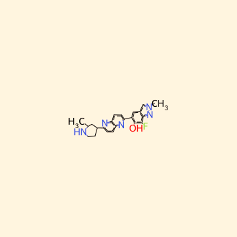 CC1CC(c2ccc3nc(-c4cc5cn(C)nc5c(F)c4O)ccc3n2)CCN1